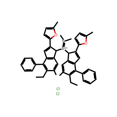 CCc1c(C)cc2c(c1-c1ccccc1)C=C(c1ccc(C)o1)[CH]2[Zr+2]([CH]1C(c2ccc(C)o2)=Cc2c1cc(C)c(CC)c2-c1ccccc1)=[Si](C)C.[Cl-].[Cl-]